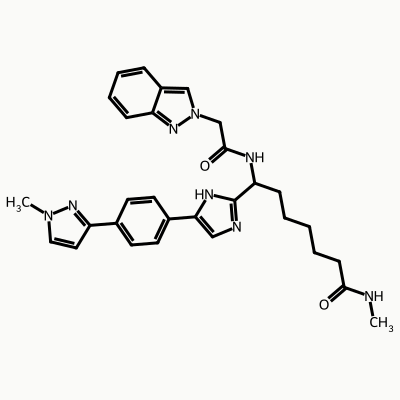 CNC(=O)CCCCCC(NC(=O)Cn1cc2ccccc2n1)c1ncc(-c2ccc(-c3ccn(C)n3)cc2)[nH]1